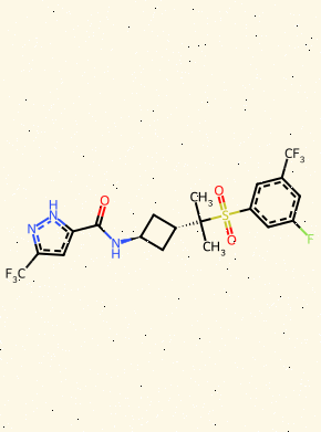 CC(C)([C@H]1C[C@H](NC(=O)c2cc(C(F)(F)F)n[nH]2)C1)S(=O)(=O)c1cc(F)cc(C(F)(F)F)c1